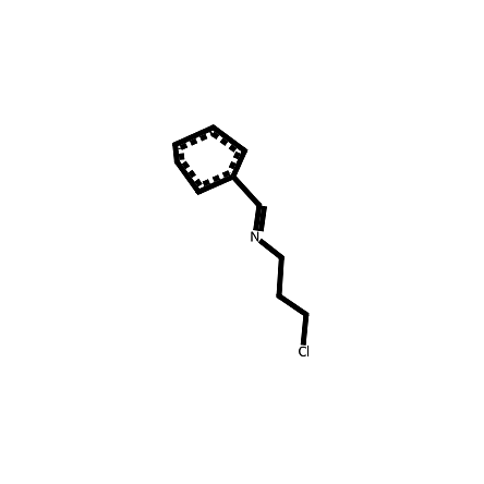 ClCCC/N=C/c1ccccc1